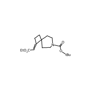 CCOC(=O)/C=C1\CCC12CCN(C(=O)OC(C)(C)C)CC2